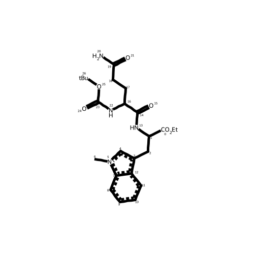 CCOC(=O)C(Cc1cn(C)c2ccccc12)NC(=O)C(CCC(N)=O)NC(=O)OC(C)(C)C